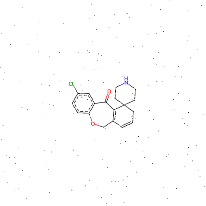 O=C1C2=C(C=CCC23CCNCC3)COc2ccc(Cl)cc21